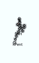 CCCCC[C@H]1CC[C@H](c2ccc(-c3ccc(C(=O)Nc4ccc(-c5ccc6c7c(c8c(c6c5)C(c5ccccc5)c5ccc6ccccc6c5-8)C=CC(c5ccccc5)(c5ccc(N6CCOCC6)cc5)O7)cc4)cc3)cc2)CC1